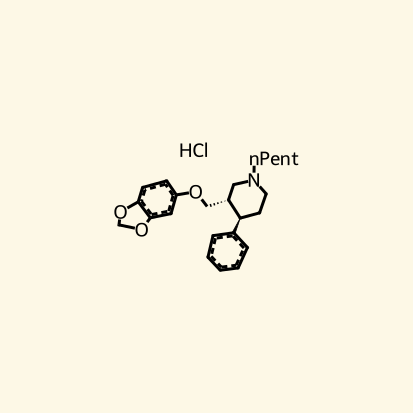 CCCCCN1CC[C@@H](c2ccccc2)[C@H](COc2ccc3c(c2)OCO3)C1.Cl